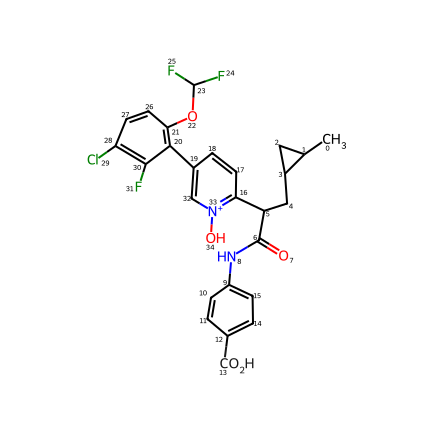 CC1CC1CC(C(=O)Nc1ccc(C(=O)O)cc1)c1ccc(-c2c(OC(F)F)ccc(Cl)c2F)c[n+]1O